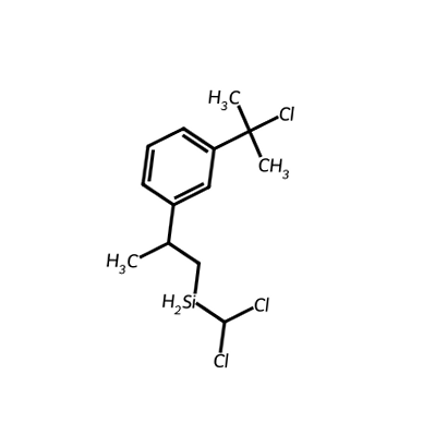 CC(C[SiH2]C(Cl)Cl)c1cccc(C(C)(C)Cl)c1